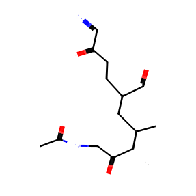 CC(=O)NCC(=O)[C@@H](C)C(C)CC(C=O)CCC(=O)C=N